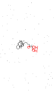 C[C@H](CCC(=O)C(C)(O)CO)[C@H]1CC[C@H]2[C@@H]3CC=C4CCCC[C@]4(C)[C@H]3CC[C@]12C